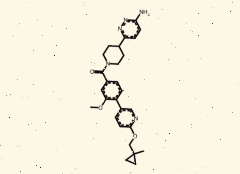 COc1cc(C(=O)N2CCC(c3ccc(N)nn3)CC2)ccc1-c1ccc(OCC2(C)CC2)nc1